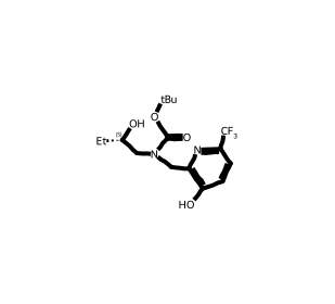 CC[C@H](O)CN(Cc1nc(C(F)(F)F)ccc1O)C(=O)OC(C)(C)C